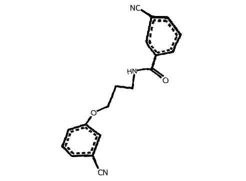 N#Cc1cccc(OCCCNC(=O)c2cccc(C#N)c2)c1